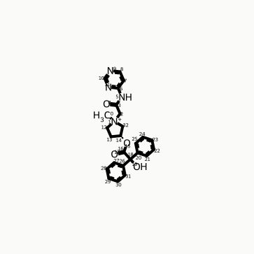 C[N+]1(CC(=O)Nc2ccncn2)CC[C@@H](OC(=O)C(O)(c2ccccc2)c2ccccc2)C1